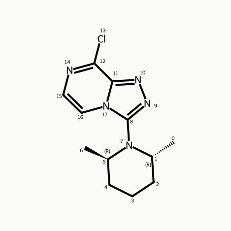 C[C@@H]1CCC[C@@H](C)N1c1nnc2c(Cl)nccn12